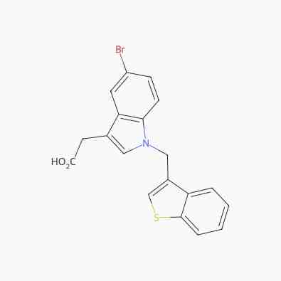 O=C(O)Cc1cn(Cc2csc3ccccc23)c2ccc(Br)cc12